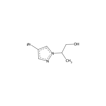 CC(C)c1cnn(C(C)CO)c1